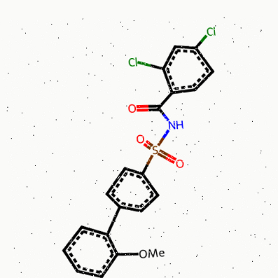 COc1ccccc1-c1ccc(S(=O)(=O)NC(=O)c2ccc(Cl)cc2Cl)cc1